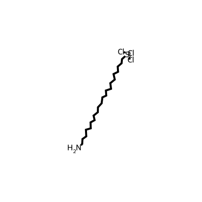 NCCCCCCCCCCCCCCCCCCCCCC[Si](Cl)(Cl)Cl